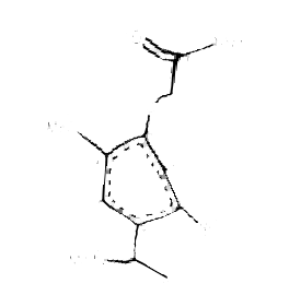 CNC(=O)COc1cc([N+](=O)[O-])c(C(C)NC)cc1OC